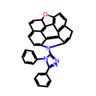 C1=CC2Oc3ccc4c5c3c2c2c1ccc1c2c5c(n1-c1nnc(-c2ccccc2)n1-c1ccccc1)=CC4